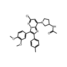 COc1ccc(-c2c(-c3ccc(C)cc3)nc3c(N4CCC(NC(C)=O)C4)cc(Cl)nn23)cc1OC